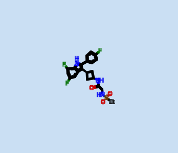 CCS(=O)(=O)NCC(=O)N[C@H]1C[C@@H](c2c(-c3ccc(F)cc3)[nH]c3c(F)cc(F)cc32)C1